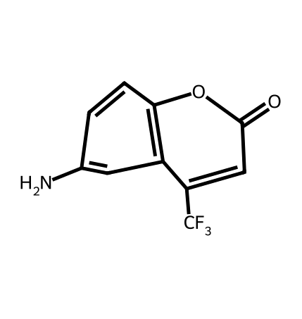 Nc1ccc2oc(=O)cc(C(F)(F)F)c2c1